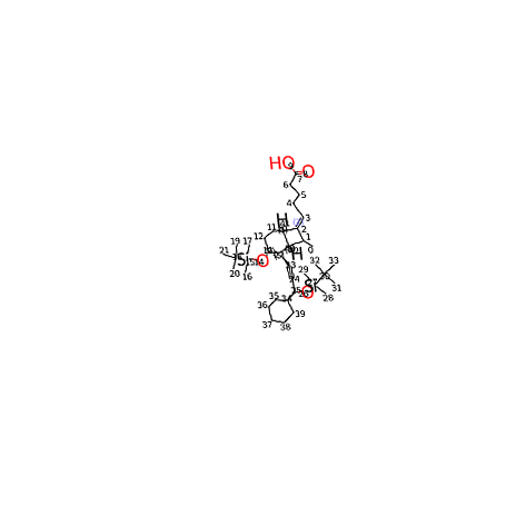 CC1/C(=C/CCCC(=O)O)[C@H]2CC[C@@H](O[Si](C)(C)C(C)(C)C)[C@H](C#CC(O[Si](C)(C)C(C)(C)C)C3CCCCC3)[C@@H]12